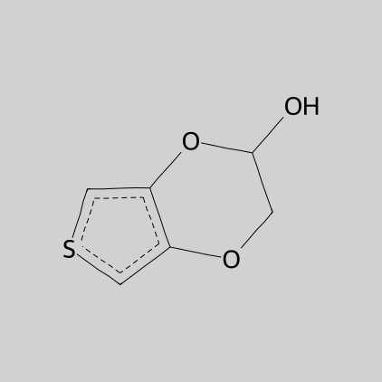 OC1COc2cscc2O1